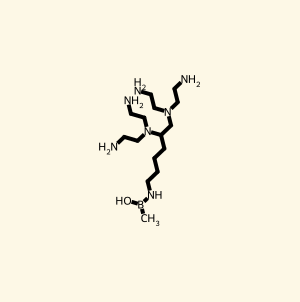 CB(O)NCCCCC(CN(CCN)CCN)N(CCN)CCN